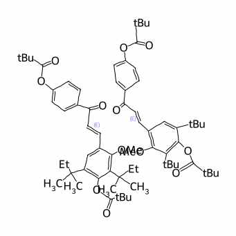 CCC(C)(C)c1cc(/C=C/C(=O)c2ccc(OC(=O)C(C)(C)C)cc2)c(OC)c(C(C)(C)CC)c1OC(=O)C(C)(C)C.COc1c(/C=C/C(=O)c2ccc(OC(=O)C(C)(C)C)cc2)cc(C(C)(C)C)c(OC(=O)C(C)(C)C)c1C(C)(C)C